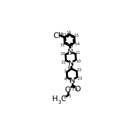 CCOC(=O)N1CCC(N2CCN(c3cccc(Cl)c3)CC2)CC1